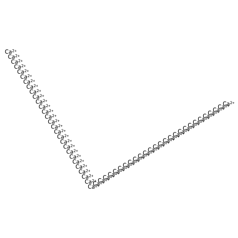 [Ca+2].[Ca+2].[Ca+2].[Ca+2].[Ca+2].[Ca+2].[Ca+2].[Ca+2].[Ca+2].[Ca+2].[Ca+2].[Ca+2].[Ca+2].[Ca+2].[Ca+2].[Ca+2].[Ca+2].[Ca+2].[Ca+2].[Ca+2].[Ca+2].[Ca+2].[Ca+2].[Ca+2].[Ca+2].[Ca+2].[Ca+2].[Ca+2].[Ca+2].[Ca+2].[Ca+2].[Ca+2].[Ca+2].[Ca+2].[Ca+2].[Ca+2].[Ca+2].[Ca+2].[Ca+2].[Ca+2].[Ca+2].[Ca+2].[Ca+2].[Ca+2].[Ca+2].[Ca+2].[Ca+2].[Ca+2].[Ca+2].[Ca+2].[Ca+2].[Ca+2].[Ca+2].[Ca+2].[Ca+2]